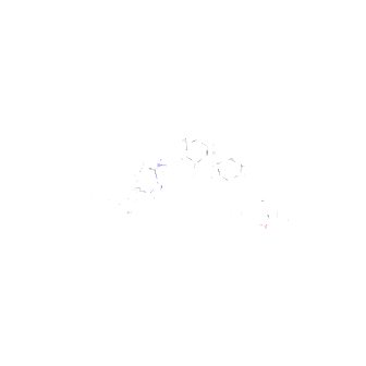 Cc1cc(OCCC(C)(C)O)cc(C)c1-c1cccc2c1CCC2Nc1ccc(C2CC2C(=O)O)cn1